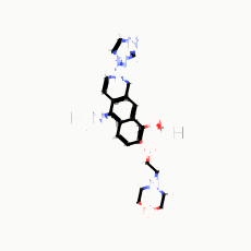 COc1c(OCCN2CCOCC2)ccc2c(N)c3c(cc12)CN(n1ccnc1)C=C3